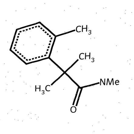 CNC(=O)C(C)(C)c1ccccc1C